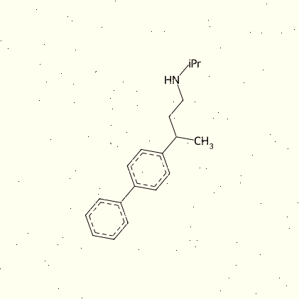 CC(C)NCCC(C)c1ccc(-c2ccccc2)cc1